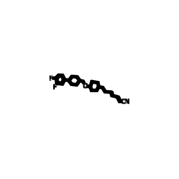 N#CC=CC=CCCC1CCC(OCC2CCC(c3ccc(F)c(F)c3)CC2)CC1